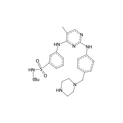 Cc1cnc(Nc2ccc(CN3CCNCC3)cc2)nc1Nc1cccc(S(=O)(=O)NC(C)(C)C)c1